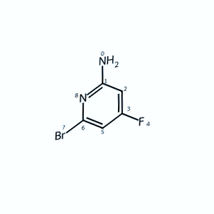 Nc1cc(F)cc(Br)n1